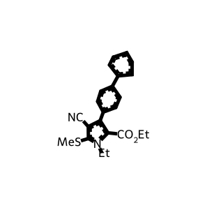 CCOC(=O)c1c(-c2ccc(-c3ccccc3)cc2)c(C#N)c(SC)n1CC